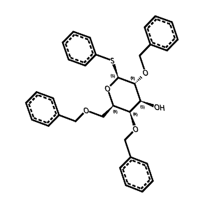 O[C@H]1[C@@H](OCc2ccccc2)[C@@H](COCc2ccccc2)O[C@@H](Sc2ccccc2)[C@@H]1OCc1ccccc1